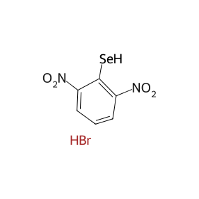 Br.O=[N+]([O-])c1cccc([N+](=O)[O-])c1[SeH]